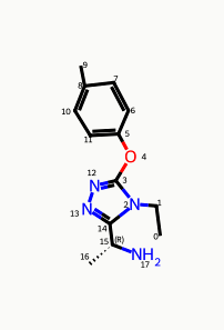 CCn1c(Oc2ccc(C)cc2)nnc1[C@@H](C)N